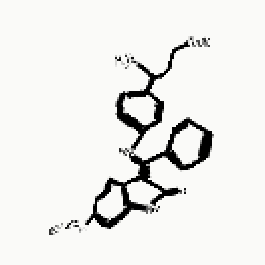 CCOC(=O)c1ccc2c(c1)NC(=O)C2=C(Nc1ccc(C(N)CCNC(C)=O)cc1)c1ccccc1